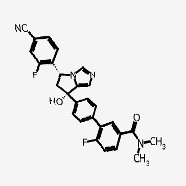 CN(C)C(=O)c1ccc(F)c(-c2ccc([C@@]3(O)C[C@H](c4ccc(C#N)cc4F)n4cncc43)cc2)c1